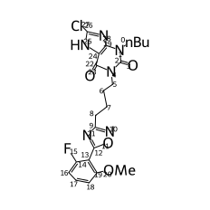 CCCCn1c(=O)n(CCCCc2noc(-c3c(F)cccc3OC)n2)c(=O)c2[nH]c(Cl)nc21